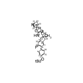 CC(C)(C)Oc1ccc(-c2cc3c(cc2F)[C@H](NC(=O)O[C@H]2CN4CCC2CC4)C(C)(C)C3)cc1